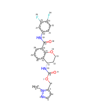 Cn1nccc1COC(=O)N[C@H]1CCOc2c(C(=O)Nc3ccc(F)c(F)c3)cccc21